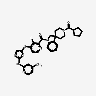 Cc1ccnc(Nc2ncc(Sc3ccnc(C(=O)NCC4(c5ccccc5)CCN(C(=O)C5CCCC5)CC4)c3F)s2)c1